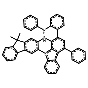 CC1(C)c2ccccc2-c2cc3c(cc21)Bc1c(-c2ccccc2Nc2ccccc2)cc(-c2ccccc2)c2c4ccccc4n-3c12